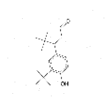 CC(C)(C)c1cc(C(CC=O)C(C)(C)C)ccc1O